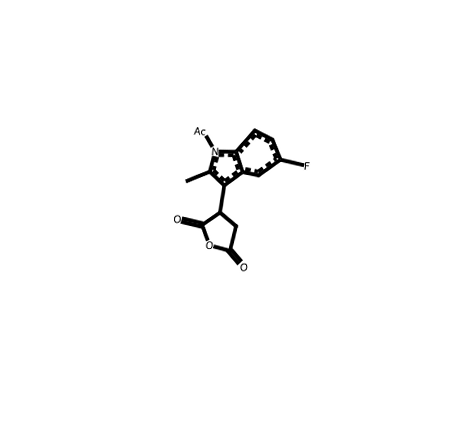 CC(=O)n1c(C)c(C2CC(=O)OC2=O)c2cc(F)ccc21